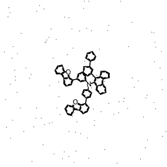 c1ccc(-c2cccc(-c3c(N(c4ccc(-c5cccc6c5oc5ccccc56)cc4)c4cccc(-c5cccc6c5oc5ccccc56)c4)c4ccccc4c4ccccc34)c2)cc1